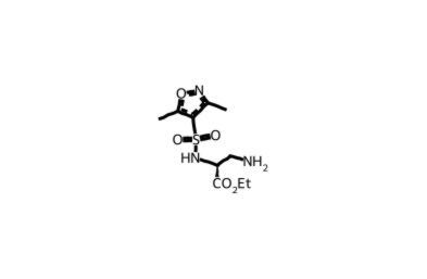 CCOC(=O)[C@H](CN)NS(=O)(=O)c1c(C)noc1C